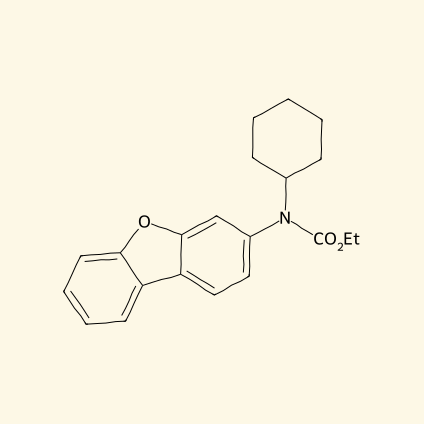 CCOC(=O)N(c1ccc2c(c1)oc1ccccc12)C1CCCCC1